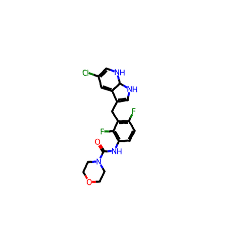 O=C(Nc1ccc(F)c(CC2=CNC3NC=C(Cl)C=C23)c1F)N1CCOCC1